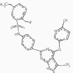 Cc1ccc(F)c(S(=O)(=O)Nc2ccc(-c3nc(Oc4ccc(O)nc4)c4c(C)n[nH]c4n3)cc2)c1